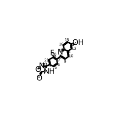 O=c1[nH]c(-c2ccc(-c3ccc4cc(O)ccc4n3)c(F)c2)no1